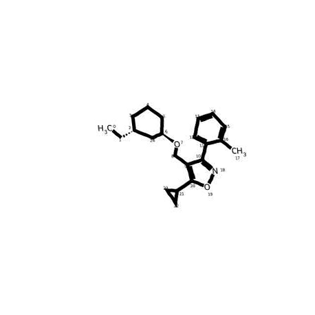 CC[C@@H]1CCC[C@@H](OCc2c(-c3ccccc3C)noc2C2CC2)C1